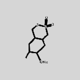 COC1CC2CS(=O)(=O)SCC2CC1C